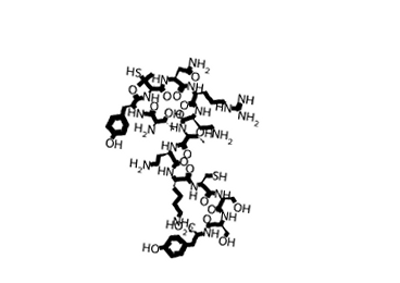 C[C@@H](O)[C@H](N)C(=O)N[C@@H](Cc1ccc(O)cc1)C(=O)N[C@H](C(=O)N[C@@H](CC(N)=O)C(=O)N[C@@H](CCCNC(=N)N)C(=O)N[C@@H](CCN)C(=O)N[C@H](C(=O)N[C@H](CCN)C(=O)N[C@@H](CCCCN)C(=O)N[C@@H](CS)C(=O)N[C@@H](CO)C(=O)N[C@@H](CO)C(=O)N[C@@H](Cc1ccc(O)cc1)C(=O)O)[C@@H](C)O)C(C)(C)S